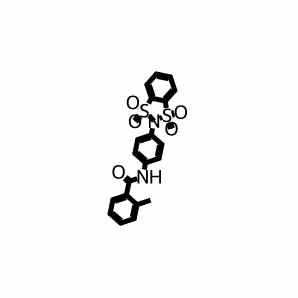 Cc1ccccc1C(=O)Nc1ccc(N2S(=O)(=O)c3ccccc3S2(=O)=O)cc1